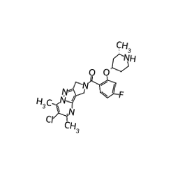 Cc1nc2c3c(nn2c(C)c1Cl)CN(C(=O)c1ccc(F)cc1O[C@H]1CCN[C@@H](C)C1)C3